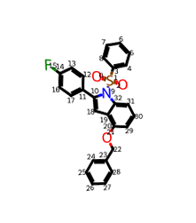 O=S(=O)(c1ccccc1)n1c(-c2ccc(F)cc2)cc2c(OCc3ccccc3)cccc21